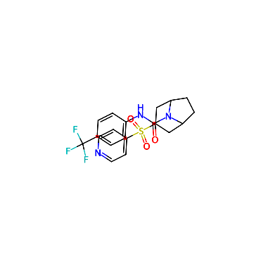 O=C(Nc1ccc(C(F)(F)F)cc1)N1C2CCC1CC(S(=O)(=O)c1ccncc1)C2